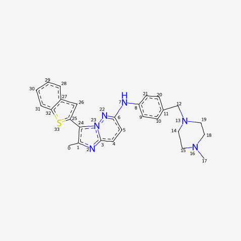 Cc1nc2ccc(Nc3ccc(CN4CCN(C)CC4)cc3)nn2c1-c1cc2ccccc2s1